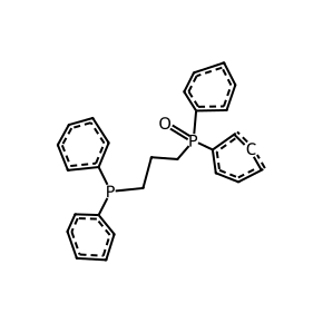 O=P(CCCP(c1ccccc1)c1ccccc1)(c1ccccc1)c1ccccc1